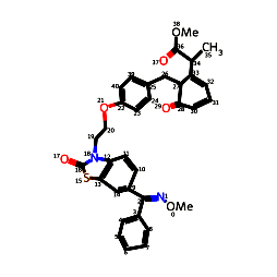 CON=C(c1ccccc1)c1ccc2c(c1)sc(=O)n2CCOc1ccc(CC2C(=O)C=CC=C2C(C)C(=O)OC)cc1